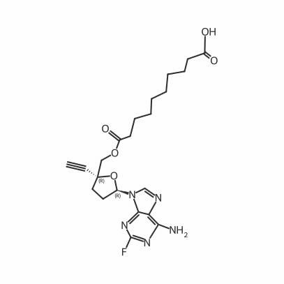 C#C[C@@]1(COC(=O)CCCCCCCCC(=O)O)CC[C@H](n2cnc3c(N)nc(F)nc32)O1